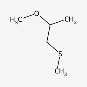 COC(C)CSC